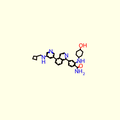 NC(=O)c1ccc(-c2nccc3c(-c4cncc(NCC5CCC5)c4)cccc23)cc1NC1CCC(O)CC1